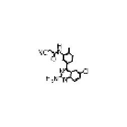 Cc1ccc(-c2nc(N)nc3ccc(Cl)cc23)cc1NC(=O)CC#N